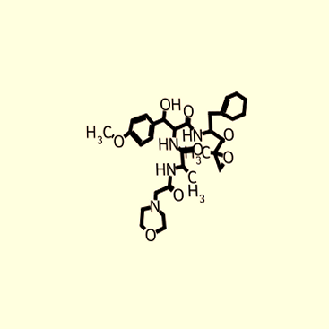 COc1ccc(C(O)C(NC(=O)C(C)NC(=O)CN2CCOCC2)C(=O)NC(CC2=CCCCC2)C(=O)C2(C)CO2)cc1